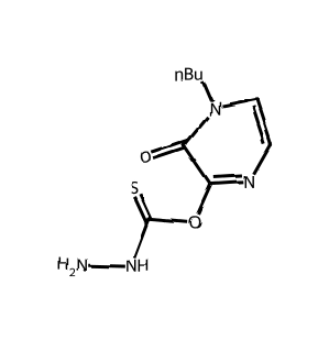 CCCCn1ccnc(OC(=S)NN)c1=O